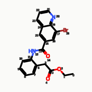 CCOC(=O)Cc1ccccc1NC(=O)c1cc(Br)c2ncccc2c1